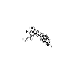 CCC(=O)OC[C@H](C(=O)OC1CO[C@@](C#N)(c2ccc3c(N)ncnn23)C1)[C@H](C)CO